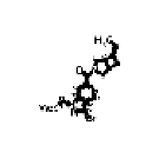 C/C=C1/CC2CN(C(=O)c3cc4c(cn3)c(Br)nn4CSC)CC12